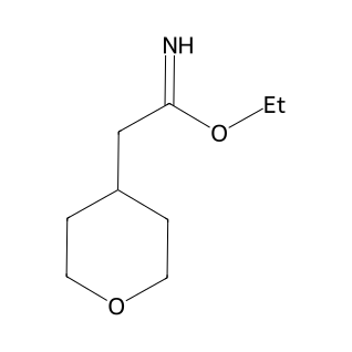 CCOC(=N)CC1CCOCC1